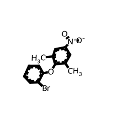 Cc1cc([N+](=O)[O-])cc(C)c1Oc1ccccc1Br